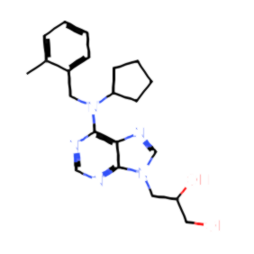 Cc1ccccc1CN(c1ncnc2c1ncn2CC(O)CO)C1CCCC1